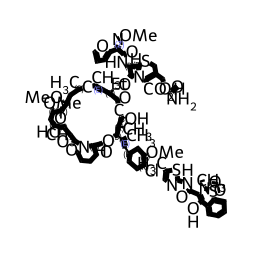 CC[C@@H]1/C=C(\C)C[C@H](C)C[C@H](OC)[C@H]2O[C@@](O)(C(=O)C(=O)N3CCCC[C@H]3C(=O)O[C@H](/C(C)=C/[C@@H]3CC[C@@H](Cl)[C@H](OC)C3)[C@H](C)[C@@H](O)CC1=O)[C@H](C)C[C@@H]2OC.CO/N=C(\C(=O)N[C@@H]1C(=O)N2C(C(=O)O)=C(COC(N)=O)CS[C@H]12)c1ccco1.Cc1cnc(NC(=O)C2=C(O)c3ccccc3S(=O)(=O)N2C)s1